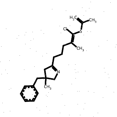 C=C(C)S/C(Cl)=C(\C)CCCC1=NCC(C)(Cc2ccccc2)C1